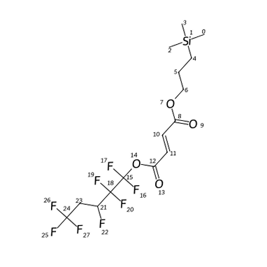 C[Si](C)(C)CCCOC(=O)C=CC(=O)OC(F)(F)C(F)(F)C(F)CC(F)(F)F